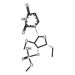 CC[C@H]1O[C@@H](n2ccc(=O)[nH]c2=O)C(OC)[C@H]1OP(O)(=S)OC